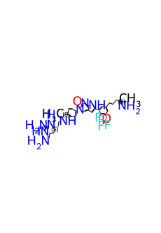 C[C@H](N)CCCc1cc(OC(F)(F)F)c(F)c(-c2cc3cn(-c4ccc([C@H](C)NCC[C@H](CCCN)NC(=N)N)cc4)c(=O)nc3[nH]2)c1